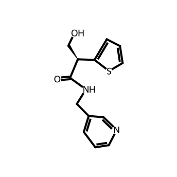 O=C(NCc1cccnc1)[C@@H](CO)c1cccs1